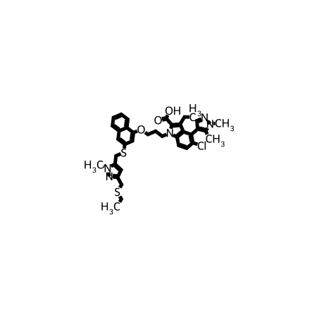 CCSCc1cc(CSc2cc(OCCCn3c(C(=O)O)c(CC)c4c(-c5cnn(C)c5C)c(Cl)ccc43)c3ccccc3c2)n(C)n1